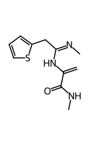 C=C(N/C(Cc1cccs1)=N\C)C(=O)NC